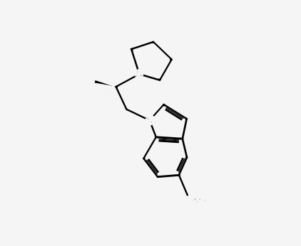 COc1ccc2c(ccn2C[C@@H](C)N2CCCC2)c1